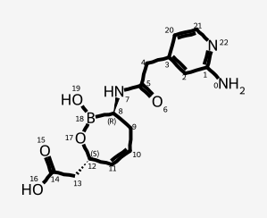 Nc1cc(CC(=O)N[C@H]2CC=C[C@H](CC(=O)O)OB2O)ccn1